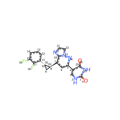 O=c1[nH]cc(-c2cc([C@H]3C[C@@H]3c3cccc(F)c3F)c3nccn3n2)c(=O)[nH]1